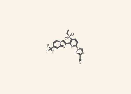 CCS(=O)(=O)c1ccc(-n2cnc(C#N)n2)nc1-c1cn2ccc(C(F)(F)F)cc2n1